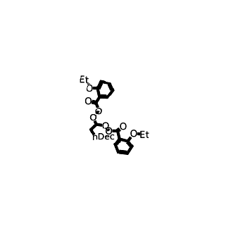 [CH2]CCCCCCCCCC[C](OOC(=O)c1ccccc1OCC)OOC(=O)c1ccccc1OCC